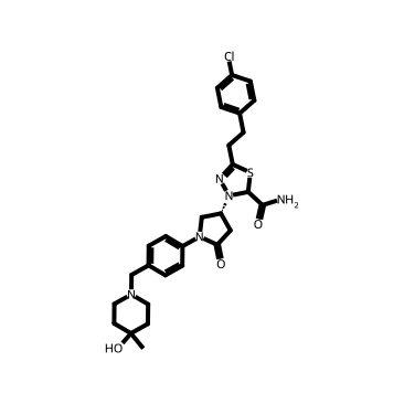 CC1(O)CCN(Cc2ccc(N3C[C@H](N4N=C(CCc5ccc(Cl)cc5)SC4C(N)=O)CC3=O)cc2)CC1